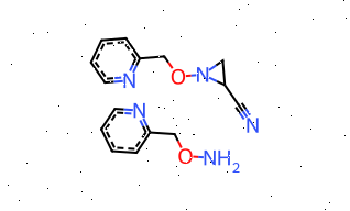 N#CC1CN1OCc1ccccn1.NOCc1ccccn1